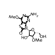 COc1nc(N)nc2c1sc(=O)n2[C@@H]1O[C@H](CO)[C@@H](OC)[C@H]1O